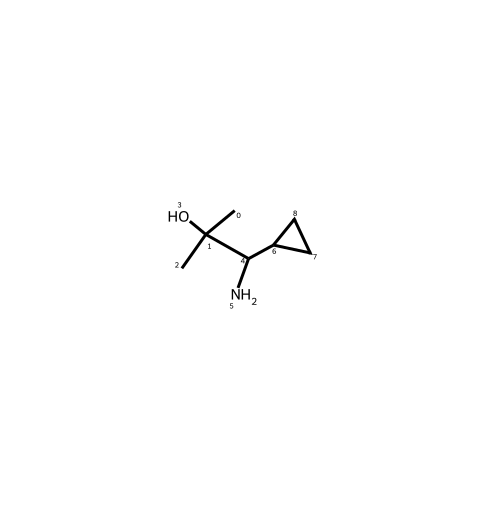 CC(C)(O)C(N)C1CC1